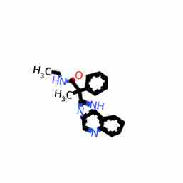 CCNC(=O)C(C)(c1ccccc1)c1nc2cnc3ccccc3c2[nH]1